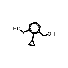 O[CH]c1cccc(CO)c1C1CC1